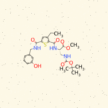 CCc1cc(C(=O)NCc2cccc(O)c2)sc1C(=O)N[C@@H](CNC(=O)OC(C)(C)C)C(=O)OC